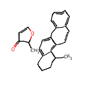 CC1CCCc2ccc3c(ccc4ccccc43)c21.CC1OC=CC1=O